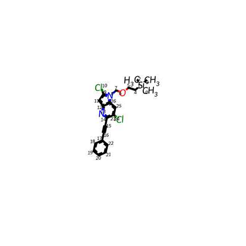 C[Si](C)(C)CCOCn1c(Cl)cc2nc(C#Cc3ccccc3)c(Cl)cc21